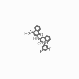 O=C1C(NC(Cc2ccccc2)C(=O)Nc2cc(F)cc(F)c2)=CC(=NO)c2ccccc21